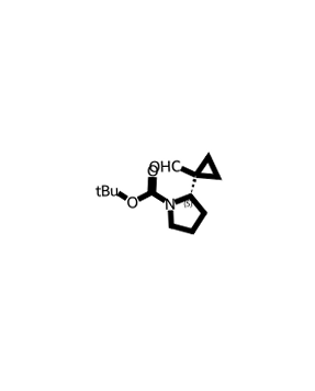 CC(C)(C)OC(=O)N1CCC[C@H]1C1(C=O)CC1